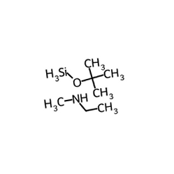 CC(C)(C)O[SiH3].CCNC